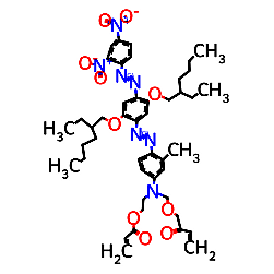 C=CC(=O)COCN(CCOC(=O)C=C)c1ccc(/N=N/c2cc(OCC(CC)CCCC)c(/N=N/c3ccc([N+](=O)[O-])cc3[N+](=O)[O-])cc2OCC(CC)CCCC)c(C)c1